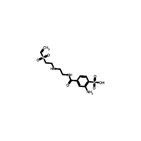 C=CS(=O)(=O)CCNCCNC(=O)c1ccc(S(=O)(=O)O)c(N)c1